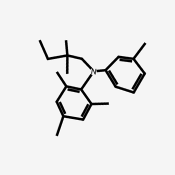 CCC(C)(C)CN(c1cccc(C)c1)c1c(C)cc(C)cc1C